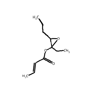 CC=CC(=O)OC1(CC)OC1CCC